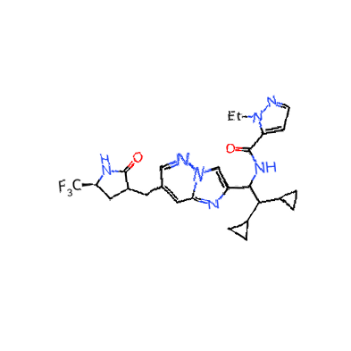 CCn1nccc1C(=O)NC(c1cn2ncc(CC3C[C@@H](C(F)(F)F)NC3=O)cc2n1)C(C1CC1)C1CC1